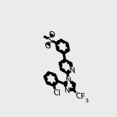 CS(=O)(=O)c1cccc(-c2ccc(-n3cc(C(F)(F)F)nc3-c3ccccc3Cl)nc2)c1